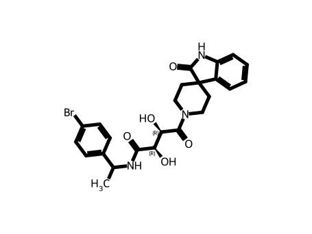 CC(NC(=O)[C@H](O)[C@@H](O)C(=O)N1CCC2(CC1)C(=O)Nc1ccccc12)c1ccc(Br)cc1